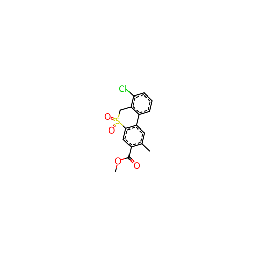 COC(=O)c1cc2c(cc1C)-c1cccc(Cl)c1CS2(=O)=O